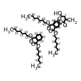 C=C(CC(=O)O)C(=O)O.CCCCCCCOC(=O)c1ccccc1C(=O)OCCCCCCC.CCCCCCCOC(=O)c1ccccc1C(=O)OCCCCCCC